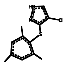 Cc1cc(C)c(Sc2n[nH]cc2Cl)c(C)c1